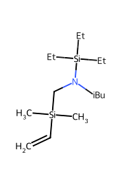 C=C[Si](C)(C)CN(C(C)CC)[Si](CC)(CC)CC